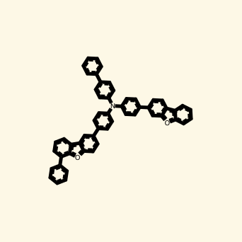 c1ccc(-c2ccc(N(c3ccc(-c4ccc5c(c4)oc4ccccc45)cc3)c3ccc(-c4ccc5oc6c(-c7ccccc7)cccc6c5c4)cc3)cc2)cc1